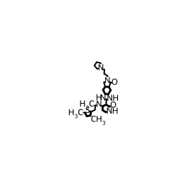 Cc1cc(C)c(CC(C)Nc2cc[nH]c(=O)c2-c2nc3cc4c(cc3[nH]2)C(=O)N(CCCN2CCCC2)C4)s1